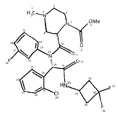 COC(=O)N1CCN(C)CC1C(=O)N(c1cccc(F)c1)[C@H](C(=O)NC1CC(F)(F)C1)c1ccccc1Cl